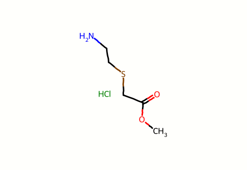 COC(=O)CSCCN.Cl